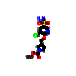 CC(C)(C)OC(=O)N1CC[C@@H](COc2ncc(S(N)(=O)=O)cc2Cl)C1